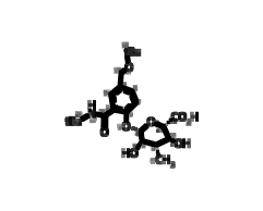 C[C@@H]1[C@@H](O)[C@H](Oc2ccc(COC(C)(C)C)cc2C(=O)NC(C)(C)C)O[C@H](C(=O)O)[C@H]1O